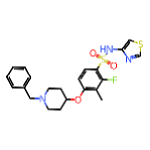 Cc1c(OC2CCN(Cc3ccccc3)CC2)ccc(S(=O)(=O)Nc2cscn2)c1F